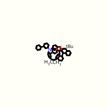 CC(C)(C)c1cc2c(c3ccccc13)-c1cccc3c4ccc(c13)C21c2ccccc2-c2ccc(cc21)N(c1cccc(-c2ccccc2)c1)c1ccc(cc1-c1ccccc1)C4(C)C